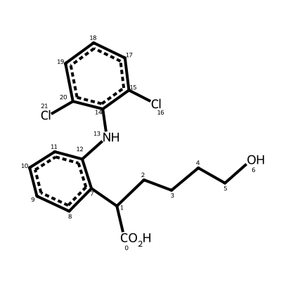 O=C(O)C(CCCCO)c1ccccc1Nc1c(Cl)cccc1Cl